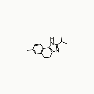 Cc1ccc2c(c1)CCc1nc(C(C)C)[nH]c1-2